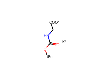 CC(C)(C)OC(=O)NCC(=O)[O-].[K+]